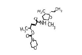 C=CC[C@@H]1O[C@H](C)[C@H](NC(=O)C=CC(C)OC(=O)N2CCOCC2)C[C@@H]1C